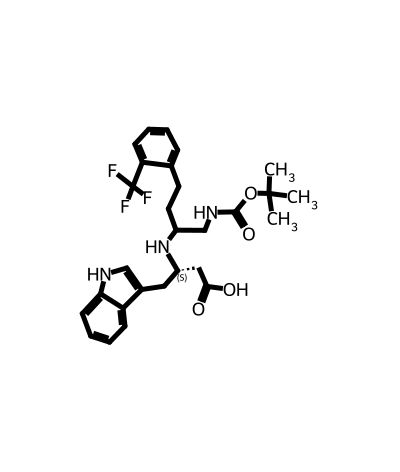 CC(C)(C)OC(=O)NCC(CCc1ccccc1C(F)(F)F)N[C@H](CC(=O)O)Cc1c[nH]c2ccccc12